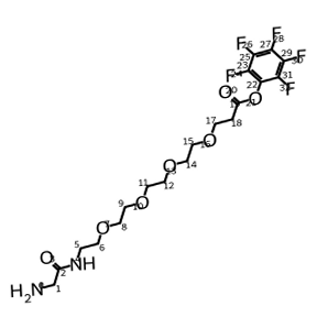 NCC(=O)NCCOCCOCCOCCOCCC(=O)Oc1c(F)c(F)c(F)c(F)c1F